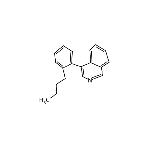 CCCCc1ccccc1-c1cncc2ccccc12